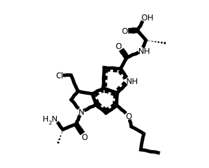 CCCCOc1cc2c(c3cc(C(=O)N[C@@H](C)C(=O)O)[nH]c13)C(CCl)CN2C(=O)[C@H](C)N